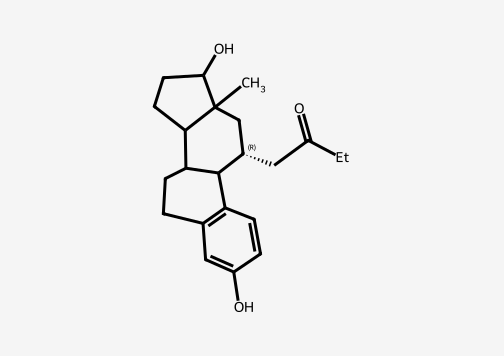 CCC(=O)C[C@H]1CC2(C)C(O)CCC2C2CCc3cc(O)ccc3C21